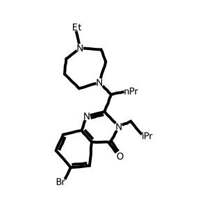 CCCC(c1nc2ccc(Br)cc2c(=O)n1CC(C)C)N1CCCN(CC)CC1